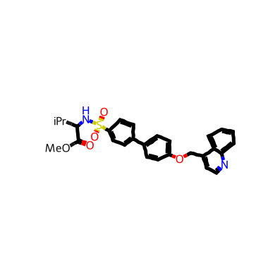 COC(=O)C(NS(=O)(=O)c1ccc(-c2ccc(OCc3ccnc4ccccc34)cc2)cc1)C(C)C